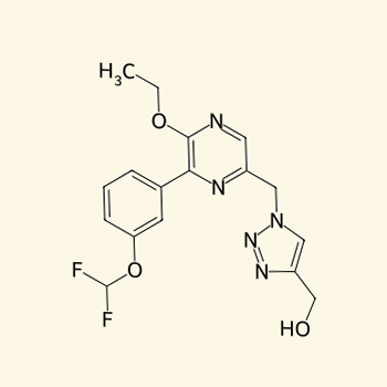 CCOc1ncc(Cn2cc(CO)nn2)nc1-c1cccc(OC(F)F)c1